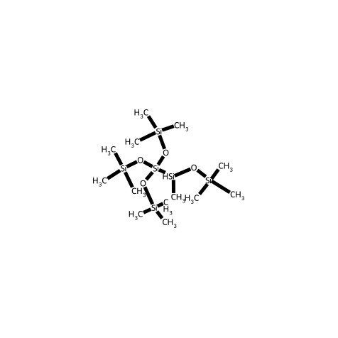 C[SiH](O[Si](C)(C)C)[Si](O[Si](C)(C)C)(O[Si](C)(C)C)O[Si](C)(C)C